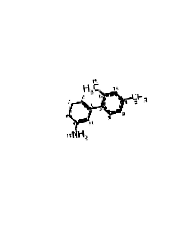 Cc1ccc(C2=CCCC(N)=C2)c(C)c1